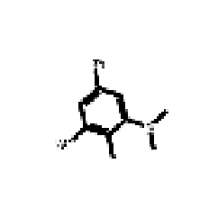 Cc1c(O)cc(C(C)C)cc1N(C)C